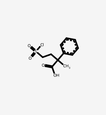 CC(CCS(=O)(=O)Cl)(C(=O)O)c1ccccc1